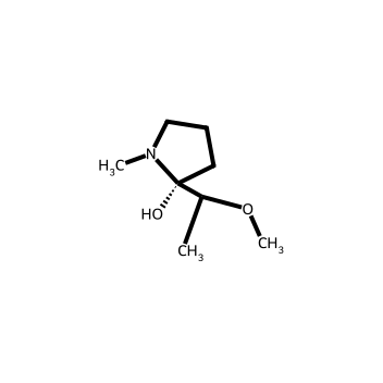 COC(C)[C@]1(O)CCCN1C